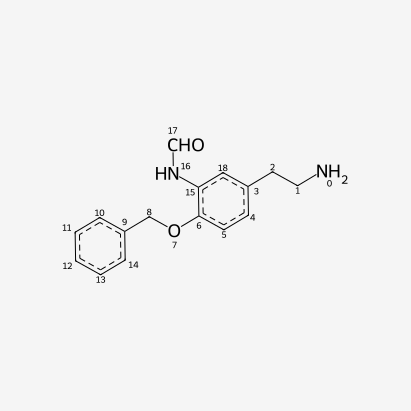 NCCc1ccc(OCc2ccccc2)c(NC=O)c1